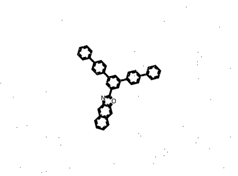 c1ccc(-c2ccc(-c3cc(-c4ccc(-c5ccccc5)cc4)cc(-c4nc5cc6ccccc6cc5o4)c3)cc2)cc1